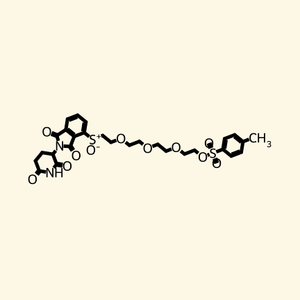 Cc1ccc(S(=O)(=O)OCCOCCOCCOCC[S+]([O-])c2cccc3c2C(=O)N(C2CCC(=O)NC2=O)C3=O)cc1